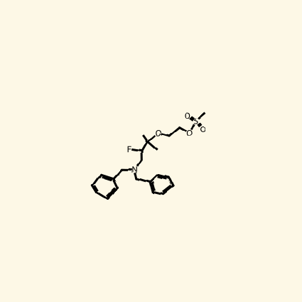 CC(C)(OCCOS(C)(=O)=O)C(F)CN(Cc1ccccc1)Cc1ccccc1